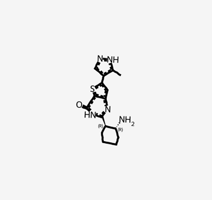 Cc1[nH]ncc1-c1cc2nc([C@@H]3CCCC[C@H]3N)[nH]c(=O)c2s1